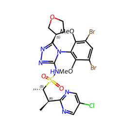 COc1c(Br)cc(Br)c(OC)c1-n1c(NS(=O)(=O)[C@@H](C)[C@H](C)c2ncc(Cl)cn2)nnc1[C@@H]1CCOC1